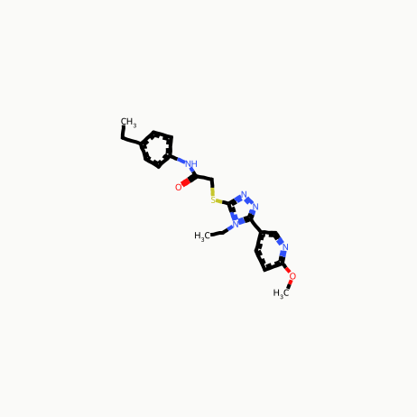 CCc1ccc(NC(=O)CSc2nnc(-c3ccc(OC)nc3)n2CC)cc1